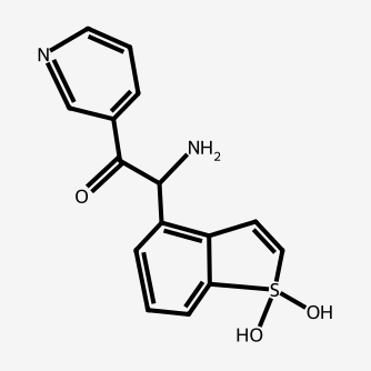 NC(C(=O)c1cccnc1)c1cccc2c1C=CS2(O)O